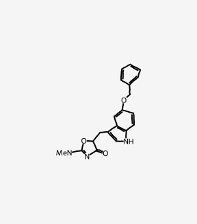 CNC1=NC(=O)C(Cc2c[nH]c3ccc(OCc4ccccc4)cc23)O1